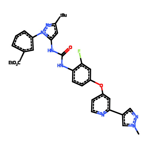 CCOC(=O)c1cccc(-n2nc(C(C)(C)C)cc2NC(=O)Nc2ccc(Oc3ccnc(-c4cnn(C)c4)c3)cc2F)c1